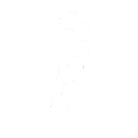 O=c1n(Cc2ccc3ccccc3n2)nc2ccc(-c3ccc(OC(F)(F)F)cc3)cn12